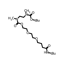 CN(CCN(C)C(=O)OC(C)(C)C)C(=O)OCCOCCOCCCC(=O)NC(C)(C)C